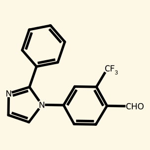 O=Cc1ccc(-n2ccnc2-c2ccccc2)cc1C(F)(F)F